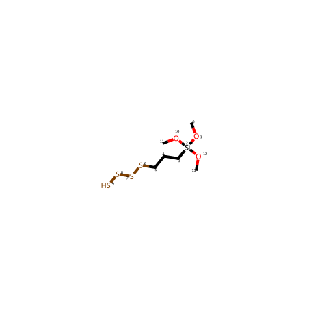 CO[Si](CCCSSSS)(OC)OC